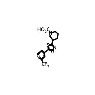 O=C(O)N1CCCC(c2nnc(-c3ccnc(C(F)(F)F)c3)s2)C1